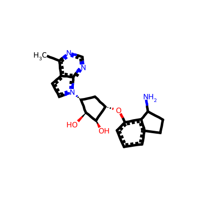 Cc1ncnc2c1ccn2[C@@H]1C[C@H](Oc2cccc3c2C(N)CC3)[C@@H](O)[C@H]1O